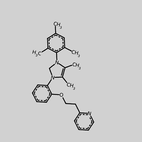 CC1=C(C)N(c2c(C)cc(C)cc2C)CN1c1ccccc1OCCc1ccccn1